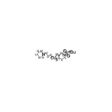 CCCCS(=O)(=O)N1CCc2sc(OCCCN3CCCCC3)cc2C1